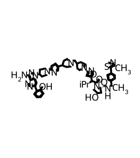 Cc1ncsc1-c1ccc([C@H](C)NC(=O)[C@@H]2C[C@@H](O)CN2C(=O)C(c2cc(N3CCC(CN4CCC(c5ccc(N6CCC(n7nc(N)c8nnc(-c9ccccc9O)cc87)CC6)nc5)CC4)CC3)no2)C(C)C)cc1